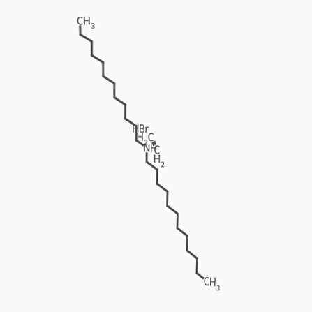 Br.C=C.CCCCCCCCCCCCNCCCCCCCCCCCC